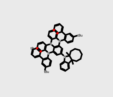 CC(C)(C)c1ccc(N2c3ccccc3B3c4ccc(C(C)(C)C)cc4N(c4ccc(C(C)(C)C)cc4-c4ccccc4)c4cc(N5c6ccccc6C6(C)CCCCCCC56C)cc2c43)c(-c2ccccc2)c1